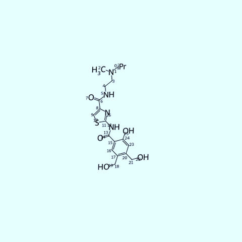 CC(C)N(C)CCNC(=O)c1csc(NC(=O)c2cc(CO)c(CO)cc2O)n1